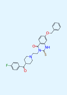 O=C(c1ccc(F)cc1)C1CCN(CCn2c(=S)[nH]c3cc(OCc4ccccc4)ccc3c2=O)CC1